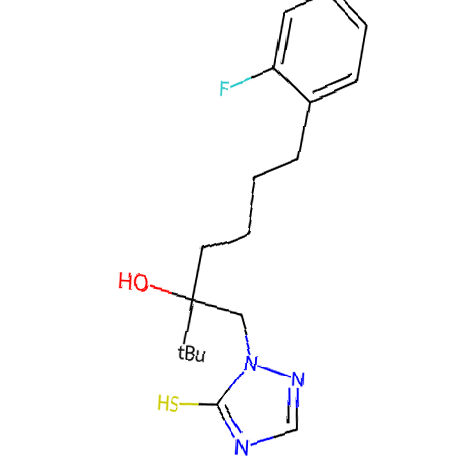 CC(C)(C)C(O)(CCCCc1ccccc1F)Cn1ncnc1S